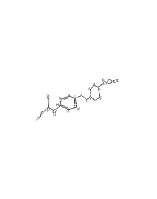 CCCCCCCCC1CCC(CCc2ccc(OC(F)F)cc2)CC1